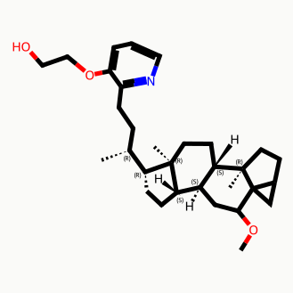 COC1C[C@H]2[C@@H]3CC[C@H]([C@H](C)CCc4ncccc4OCCO)[C@@]3(C)CC[C@@H]2[C@@]2(C)CCC3CC312